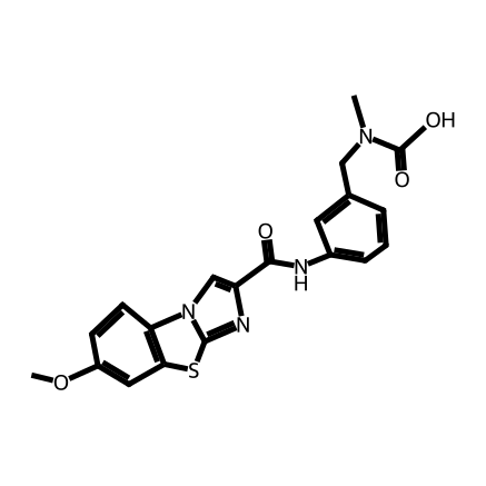 COc1ccc2c(c1)sc1nc(C(=O)Nc3cccc(CN(C)C(=O)O)c3)cn12